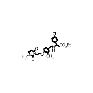 CCOC(=O)CC(NCc1ccc(OCCn2c(=O)ccn(C)c2=O)c(C)c1)c1ccc(Cl)cc1